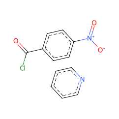 O=C(Cl)c1ccc([N+](=O)[O-])cc1.c1ccncc1